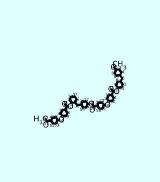 COc1ccc(Cc2ccc(OC(=O)c3ccc(Oc4ccc(C(=O)Oc5ccc(Cc6ccccc6OC(=O)c6ccc(Oc7ccc(C(C)=O)cc7)cc6)cc5)cc4)cc3)cc2)cc1